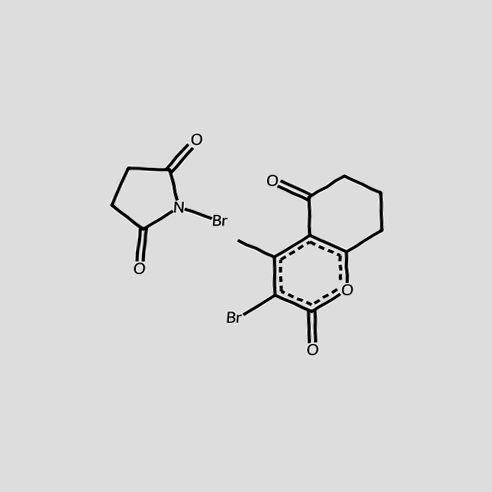 Cc1c2c(oc(=O)c1Br)CCCC2=O.O=C1CCC(=O)N1Br